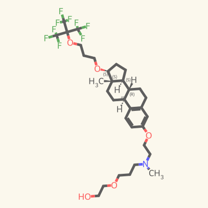 CN(CCCOCCO)CCOc1ccc2c(c1)CC[C@@H]1[C@@H]2CC[C@]2(C)[C@@H](OCCCOC(C(F)(F)F)(C(F)(F)F)C(F)(F)F)CC[C@@H]12